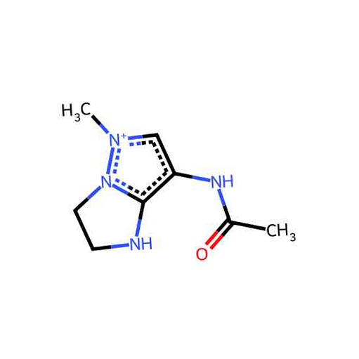 CC(=O)Nc1c[n+](C)n2c1NCC2